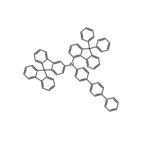 c1ccc(-c2ccc(-c3ccc(N(c4ccc5c(c4)-c4ccccc4C54c5ccccc5-c5ccccc54)c4cccc5c4-c4ccccc4C5(c4ccccc4)c4ccccc4)cc3)cc2)cc1